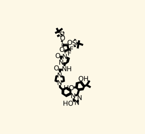 CC(C)c1cc(-c2nnc(O)n2-c2ccc(CN3CCN(C(=O)Nc4ccn([C@@H]5O[C@H](CO[Si](C)(C)C(C)(C)C)[C@@H](O[Si](C)(C)C(C)(C)C)C5(F)F)c(=O)n4)CC3)cc2)c(O)cc1O